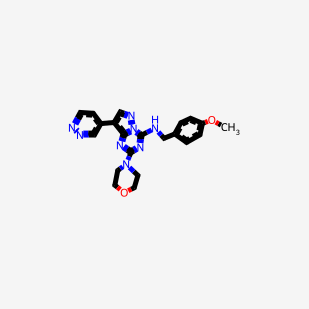 COc1ccc(CNc2nc(N3CCOCC3)nc3c(-c4ccnnc4)cnn23)cc1